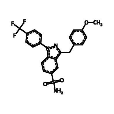 COc1ccc(Cc2nn(-c3ccc(C(F)(F)F)cc3)c3ccc(S(N)(=O)=O)cc23)cc1